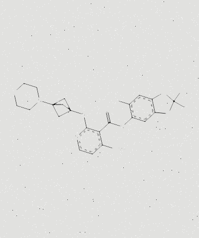 COc1ccnc(NC23CC(N4CCOCC4)(C2)C3)c1C(=O)Nc1cc2c(cc1C(=O)O)OC(F)(F)O2